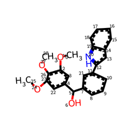 COc1cc(C(O)c2cccc(-c3cc4ccccc4[nH]3)c2)cc(OC)c1OC